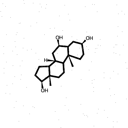 C[C@]12CC[C@H](O)CC1[C@H](O)C[C@@H]1C2CC[C@@]2(C)C1CC[C@@H]2O